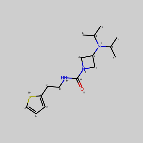 CC(C)N(C(C)C)C1CN(C(=O)NCCc2cccs2)C1